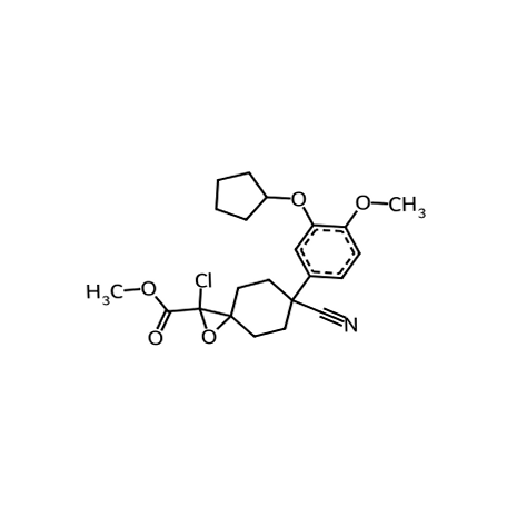 COC(=O)C1(Cl)OC12CCC(C#N)(c1ccc(OC)c(OC3CCCC3)c1)CC2